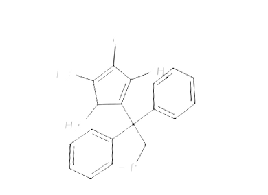 CC1=C(C)C(C)C(C(CP)(c2ccccc2)c2ccccc2)=C1C